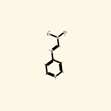 CCN(C=Nc1[c]cncc1)CC